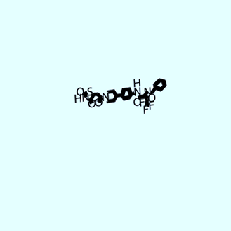 O=C1NC(=O)C(CC(=O)N2CCC(c3ccc(NC(=O)c4nc(-c5ccccc5)oc4C(F)(F)F)cc3)CC2)S1